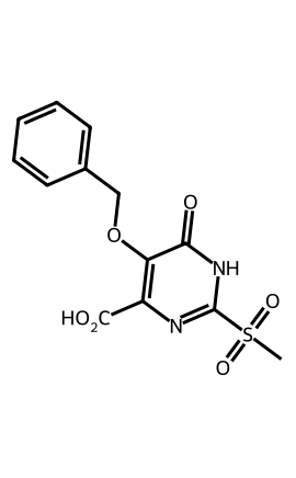 CS(=O)(=O)c1nc(C(=O)O)c(OCc2ccccc2)c(=O)[nH]1